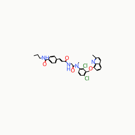 CCCNC(=O)c1ccc(C=CC(=O)NCC(=O)N(C)c2ccc(Cl)c(COc3cccc4ccc(C)nc34)c2Cl)cc1